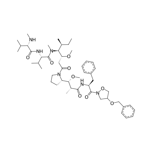 CC[C@H](C)[C@@H]([C@@H](CC(=O)N1CCC[C@H]1[C@H](OC)[C@@H](C)C(=O)N[C@@H](Cc1ccccc1)C(=O)N1CC(OCc2ccccc2)CO1)OC)N(C)C(=O)[C@@H](NC(=O)[C@@H](NC)C(C)C)C(C)C